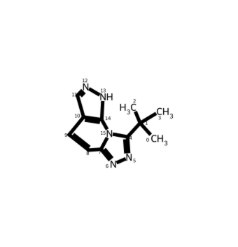 CC(C)(C)c1nnc2ccc3cn[nH]c3n12